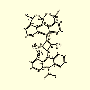 CN(C)c1c2ccccc2c(C2C(O)C(c3c4cccc(N(C)C)c4c(N(C)C)c4c(N(C)C)cccc34)C2O)c2c(N)cccc12